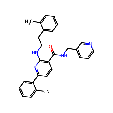 Cc1ccccc1CCNc1nc(-c2ccccc2C#N)ccc1C(=O)NCc1cccnc1